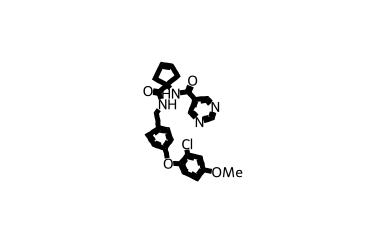 COc1ccc(Oc2ccc(CNC(=O)C3(NC(=O)c4cncnc4)CC=CC3)cc2)c(Cl)c1